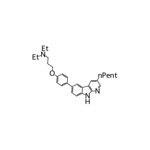 CCCCCc1cnc2[nH]c3ccc(-c4ccc(OCCCN(CC)CC)cc4)cc3c2c1